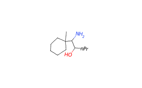 CCCC(O)C(N)C1(C)CCCCC1